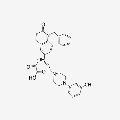 Cc1cccc(N2CCN(C/C=C/c3ccc4c(c3)CCC(=O)N4Cc3ccccc3)CC2)c1.O=C(O)C(=O)O